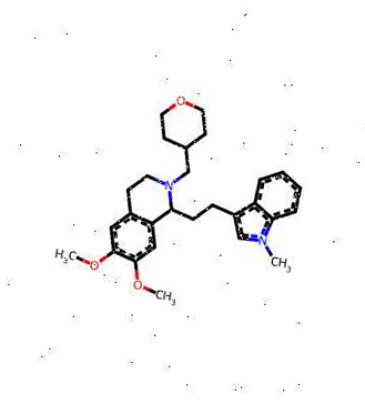 COc1cc2c(cc1OC)C(CCc1cn(C)c3ccccc13)N(CC1CCOCC1)CC2